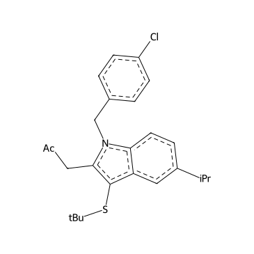 CC(=O)Cc1c(SC(C)(C)C)c2cc(C(C)C)ccc2n1Cc1ccc(Cl)cc1